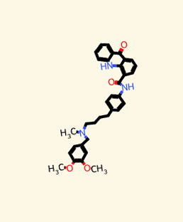 COc1ccc(CN(C)CCCCc2ccc(NC(=O)c3cccc4c(=O)c5ccccc5[nH]c34)cc2)cc1OC